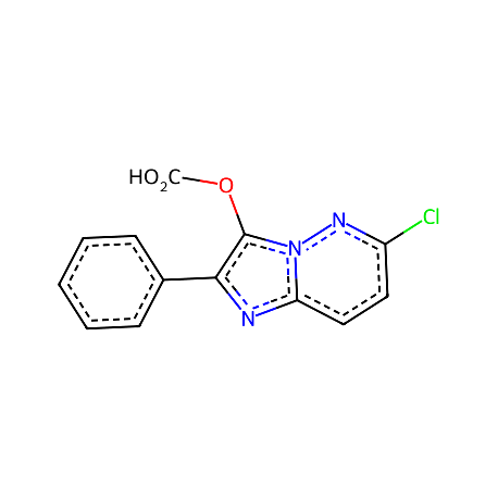 O=C(O)Oc1c(-c2ccccc2)nc2ccc(Cl)nn12